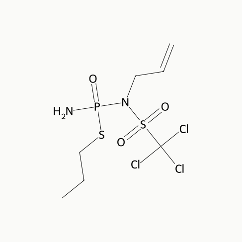 C=CCN(P(N)(=O)SCCC)S(=O)(=O)C(Cl)(Cl)Cl